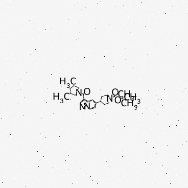 CC1CC(C)CN(C(=O)c2cnn3ccc(C4CCN(C(=O)OC(C)(C)C)CC4)cc23)C1